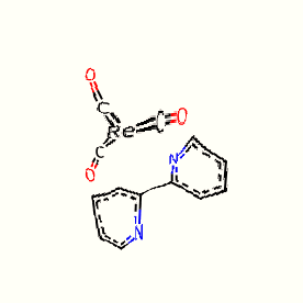 O=[C]=[Re](=[C]=O)=[C]=O.c1ccc(-c2ccccn2)nc1